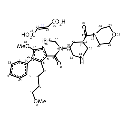 COCCCCc1c(C(=O)N(CC(C)C)[C@@H]2CNC[C@H](C(=O)N3CCOCC3)C2)nc(OC)n1-c1ccccc1.O=C(O)/C=C/C(=O)O